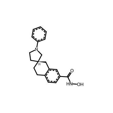 O=C(NO)c1ccc2c(c1)C[C@@]1(CC2)CCN(c2ccccc2)C1